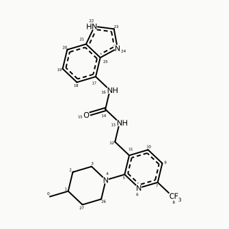 CC1CCN(c2nc(C(F)(F)F)ccc2CNC(=O)Nc2cccc3[nH]cnc23)CC1